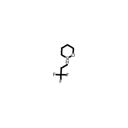 FC(F)(F)CC[SiH]1CCCCO1